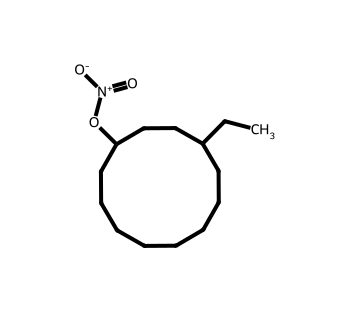 CCC1CCCCCCCCC(O[N+](=O)[O-])CC1